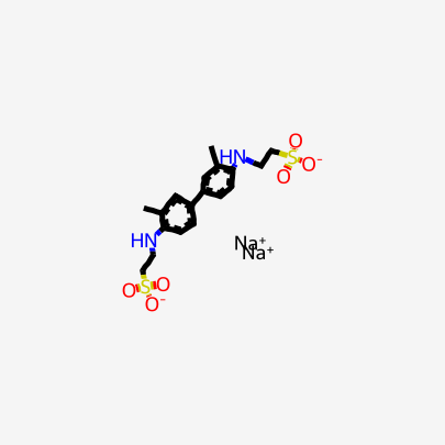 Cc1cc(-c2ccc(NCCS(=O)(=O)[O-])c(C)c2)ccc1NCCS(=O)(=O)[O-].[Na+].[Na+]